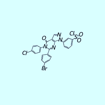 O=c1c2cnn(-c3cccc(S(=O)(=O)Cl)c3)c2nc(-c2ccc(Br)cc2)n1-c1ccc(Cl)cc1